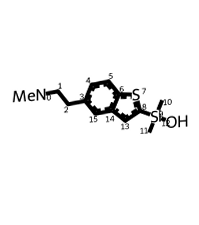 CNCCc1ccc2sc([Si](C)(C)O)cc2c1